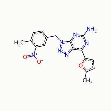 Cc1ccc(-c2nc(N)nc3c2nnn3Cc2ccc(C)c([N+](=O)[O-])c2)o1